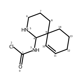 O=C(Cl)NC1NCCCC12C=CCCC2